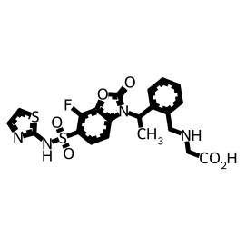 CC(c1ccccc1CNCC(=O)O)n1c(=O)oc2c(F)c(S(=O)(=O)Nc3nccs3)ccc21